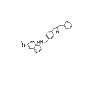 COc1ccc2c(NCc3ccc(CNCc4ccccc4)cc3)ccnc2c1